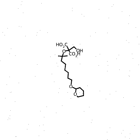 CC(C)(CCCCCCOC1CCCCO1)OC(CO)(C(=O)O)C(=O)O